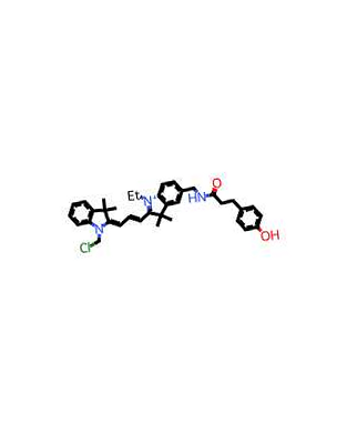 CC[N+]1=C(/C=C/C=C2/N(CCl)c3ccccc3C2(C)C)C(C)(C)c2cc(CNC(=O)CCc3ccc(O)cc3)ccc21